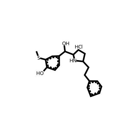 CSc1cc(C(O)C2CCC(CCc3ccccc3)N2)ccc1O.Cl